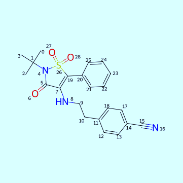 CC(C)(C)N1C(=O)C(NCCc2ccc(C#N)cc2)=C(c2ccccc2)S1(=O)=O